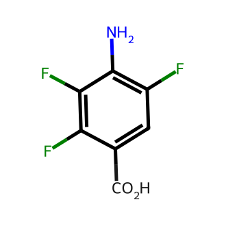 Nc1c(F)cc(C(=O)O)c(F)c1F